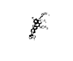 C=CC(=O)N1CCc2ncc(/C(N=C)=C(/CC)c3c(F)cc(F)cc3OCCOC)cc2C1